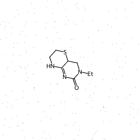 CCN1CC2SCCNC2=NC1=O